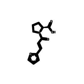 O=C(O)[C@@H]1CCCN1C(=O)C=Cc1ccco1